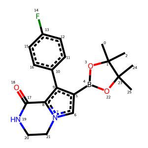 CC1(C)OB(c2cn3c(c2-c2ccc(F)cc2)C(=O)NCC3)OC1(C)C